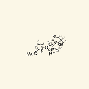 COc1cc(C)cc(OCC2[C@](C)(O)CC[C@H]3C(C)(C)CCC[C@]23C)c1